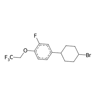 Fc1cc(C2CCC(Br)CC2)ccc1OCC(F)(F)F